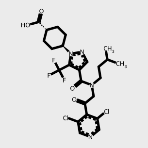 CC(C)CCN(CC(=O)c1c(Cl)cncc1Cl)C(=O)c1cnn([C@H]2CC[C@H](C(=O)O)CC2)c1C(F)(F)F